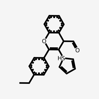 CCc1ccc(C2=C([SH]3C=CC=C3)C(C=O)c3ccccc3O2)cc1